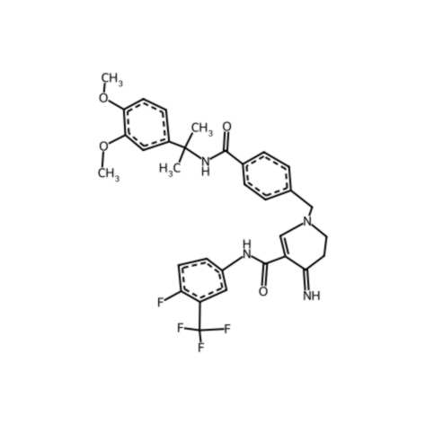 COc1ccc(C(C)(C)NC(=O)c2ccc(CN3C=C(C(=O)Nc4ccc(F)c(C(F)(F)F)c4)C(=N)CC3)cc2)cc1OC